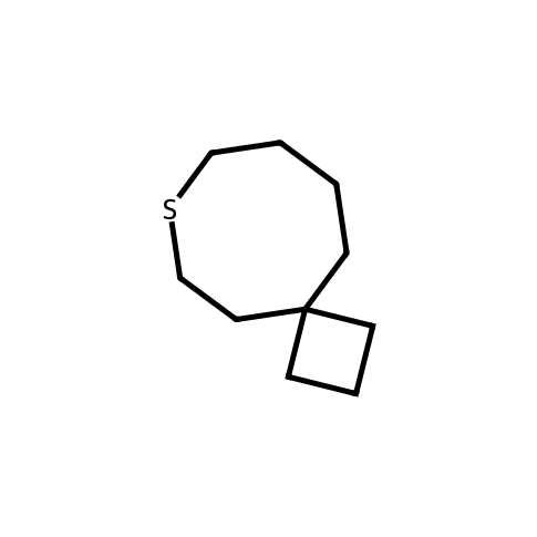 C1CCC2(CCC2)CCSC1